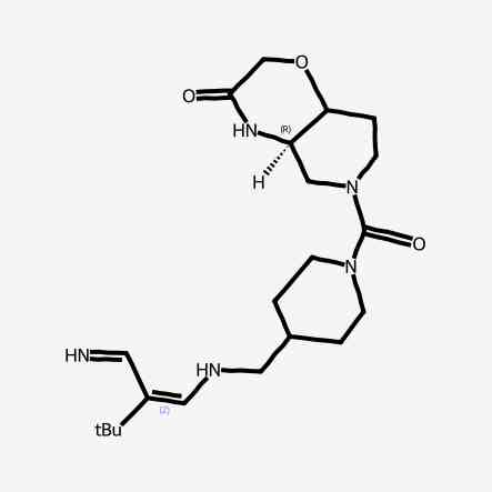 CC(C)(C)/C(C=N)=C/NCC1CCN(C(=O)N2CCC3OCC(=O)N[C@@H]3C2)CC1